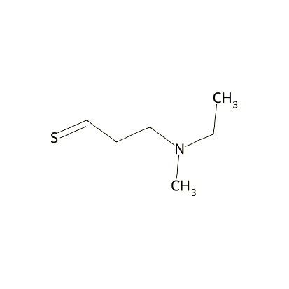 CCN(C)CCC=S